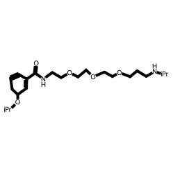 CC(C)NCCCOCCOCCOCCNC(=O)C1=CC(OC(C)C)CC#C1